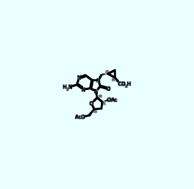 CC(=O)OC[C@@H]1C[C@@H](OC(C)=O)[C@H](n2c(=O)n(C[C@@H]3C[C@H]3C(=O)O)c3cnc(N)nc32)O1